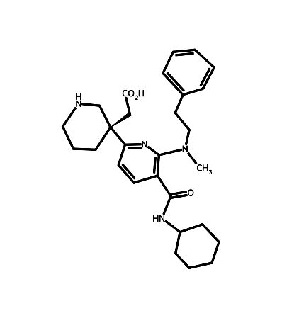 CN(CCc1ccccc1)c1nc([C@]2(CC(=O)O)CCCNC2)ccc1C(=O)NC1CCCCC1